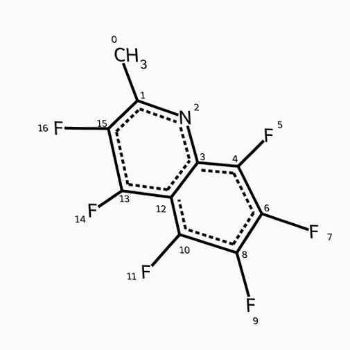 Cc1nc2c(F)c(F)c(F)c(F)c2c(F)c1F